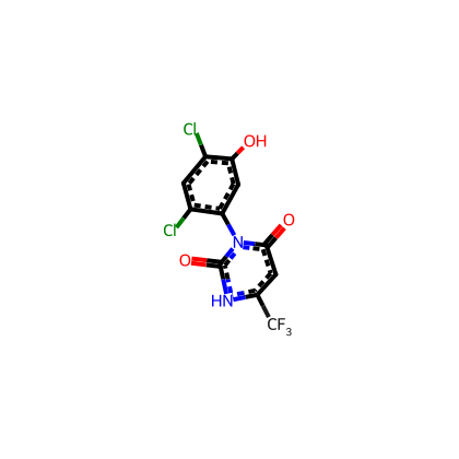 O=c1cc(C(F)(F)F)[nH]c(=O)n1-c1cc(O)c(Cl)cc1Cl